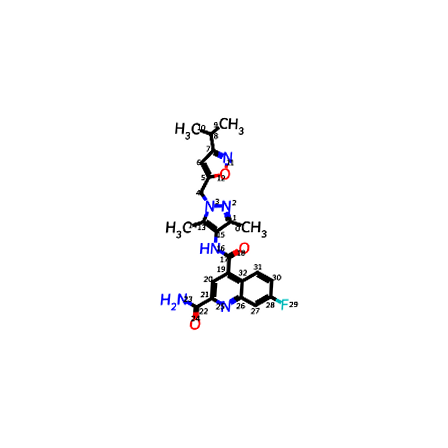 Cc1nn(Cc2cc(C(C)C)no2)c(C)c1NC(=O)c1cc(C(N)=O)nc2cc(F)ccc12